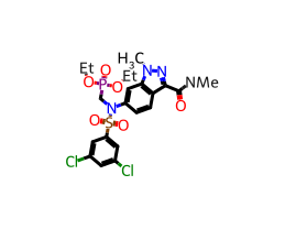 CCOP(=O)(CN(c1ccc2c(C(=O)NC)nn(C)c2c1)S(=O)(=O)c1cc(Cl)cc(Cl)c1)OCC